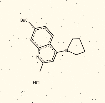 Cc1cc(N2CCCC2)c2ccc(OCC(C)C)cc2n1.Cl